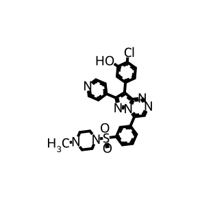 CN1CCN(S(=O)(=O)c2cccc(-c3cnnc4c(-c5ccc(Cl)c(O)c5)c(-c5ccncc5)nn34)c2)CC1